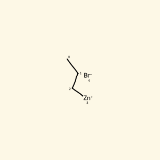 CC[CH2][Zn+].[Br-]